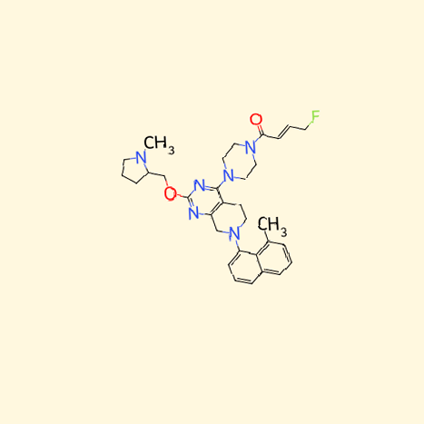 Cc1cccc2cccc(N3CCc4c(nc(OCC5CCCN5C)nc4N4CCN(C(=O)/C=C/CF)CC4)C3)c12